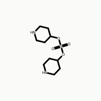 O=S(=O)(OC1CCNCC1)OC1CCNCC1